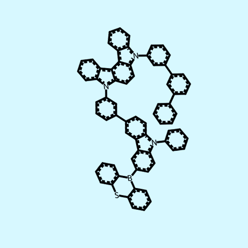 c1ccc(-c2cccc(-c3cccc(-n4c5ccccc5c5c6c7ccccc7n(-c7cccc(-c8ccc9c(c8)c8cc(B%10c%11ccccc%11Sc%11ccccc%11%10)ccc8n9-c8ccccc8)c7)c6ccc54)c3)c2)cc1